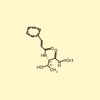 CCCCCCCCNC(=O)[C@@H](NC(=O)C=Cc1ccccc1)[C@@H](C)O